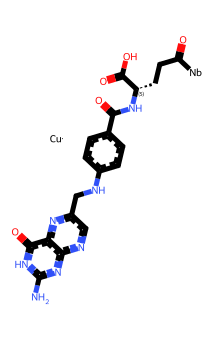 Nc1nc2ncc(CNc3ccc(C(=O)N[C@@H](CC[C](=O)[Nb])C(=O)O)cc3)nc2c(=O)[nH]1.[Cu]